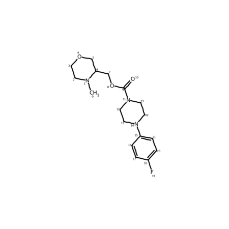 CN1CCOCC1COC(=O)N1CCN(c2ccc(F)cc2)CC1